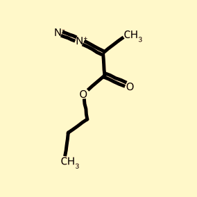 CCCOC(=O)C(C)=[N+]=[N-]